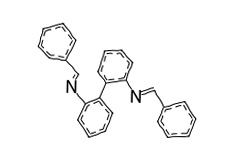 C(=N\c1ccccc1-c1ccccc1/N=C/c1ccccc1)/c1ccccc1